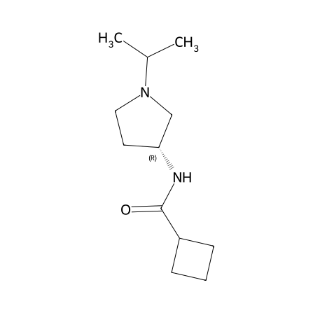 CC(C)N1CC[C@@H](NC(=O)C2CCC2)C1